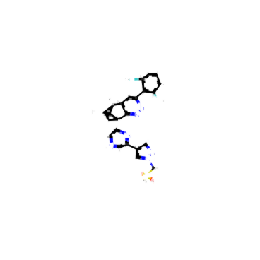 CC1(C)[C@H]2CC[C@]1(c1cncc(-c3cnn(CS(C)(=O)=O)c3)n1)c1nnc(-c3c(F)cccc3F)cc12